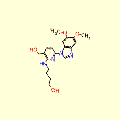 COc1cc2ncn(-c3ccc(CO)c(NCCCCO)n3)c2cc1OC